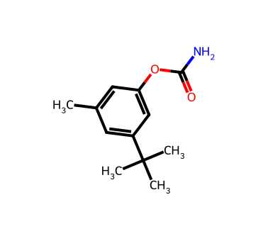 Cc1cc(OC(N)=O)cc(C(C)(C)C)c1